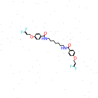 O=C(NCCCCCCCNC(=O)c1ccc(OCC=C(F)F)cc1)c1ccc(OCC=C(F)F)cc1